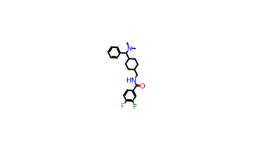 CN(C)C(c1ccccc1)C1CCC(CNC(=O)c2ccc(F)c(F)c2)CC1